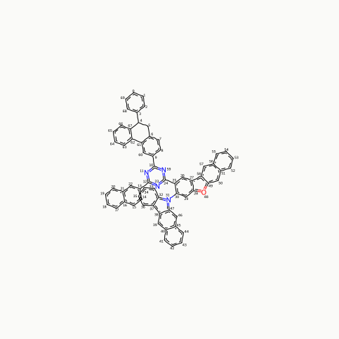 c1ccc(C2Cc3ccc(-c4nc(-c5ccc6ccccc6c5)nc(-c5cc6c(cc5-n5c7ccccc7c7cc8ccccc8cc75)oc5cc7ccccc7cc56)n4)cc3-c3ccccc32)cc1